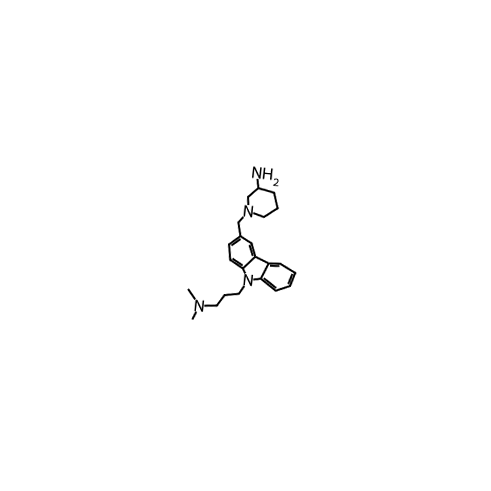 CN(C)CCCn1c2ccccc2c2cc(CN3CCCC(N)C3)ccc21